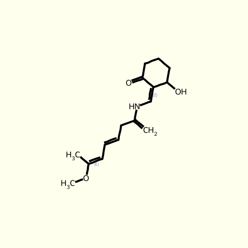 C=C(CC=C/C=C(\C)OC)N/C=C1\C(=O)CCCC1O